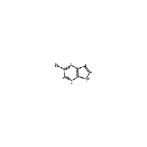 Clc1[c]c2cc[nH]c2nc1